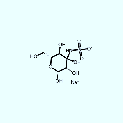 O=S(=O)([O-])N[C@]1(O)[C@H](O)[C@@H](O)O[C@H](CO)[C@H]1O.[Na+]